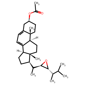 CC(=O)O[C@H]1CC[C@@]2(C)C(=CC=C3[C@@H]4CC[C@H](C(C)[C@H]5O[C@@H]5C(C)C(C)C)[C@@]4(C)CC[C@@H]32)C1